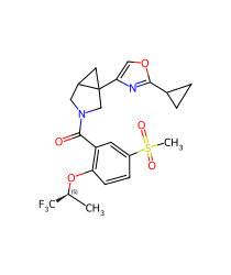 C[C@H](Oc1ccc(S(C)(=O)=O)cc1C(=O)N1CC2CC2(c2coc(C3CC3)n2)C1)C(F)(F)F